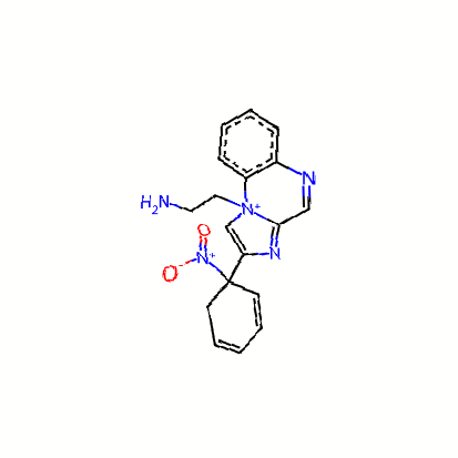 NCC[N+]12C=C(C3([N+](=O)[O-])C=CC=CC3)N=C1C=Nc1ccccc12